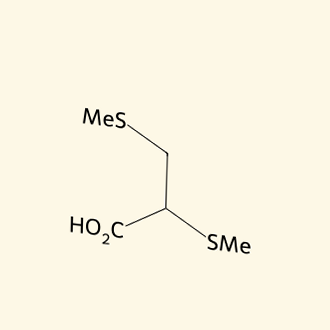 CSCC(SC)C(=O)O